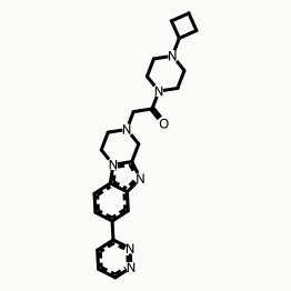 O=C(CN1CCn2c(nc3cc(-c4cccnn4)ccc32)C1)N1CCN(C2CCC2)CC1